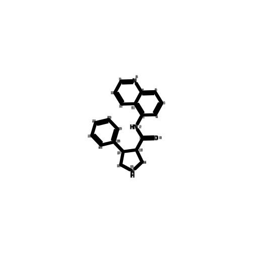 O=C(Nc1cccc2ncccc12)C1CNCC1c1ccccc1